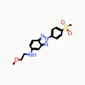 COCCNc1ccc2nn(-c3ccc(S(C)(=O)=O)cc3)nc2c1